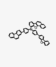 c1ccc2c(c1)ccc1cc(-c3ccc(N(c4ccc(-c5ccc6c(c5)oc5ccccc56)cc4)c4cccc5c4oc4c6ccccc6ccc54)cc3)ccc12